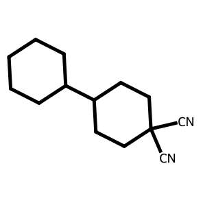 N#CC1(C#N)CCC(C2CCCCC2)CC1